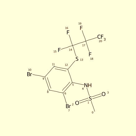 CS(=O)(=O)Nc1c(Br)[c]c(Br)cc1SC(F)(F)C(F)(F)C(F)(F)F